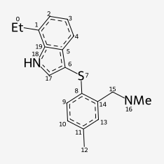 CCc1cccc2c(Sc3ccc(C)cc3CNC)c[nH]c12